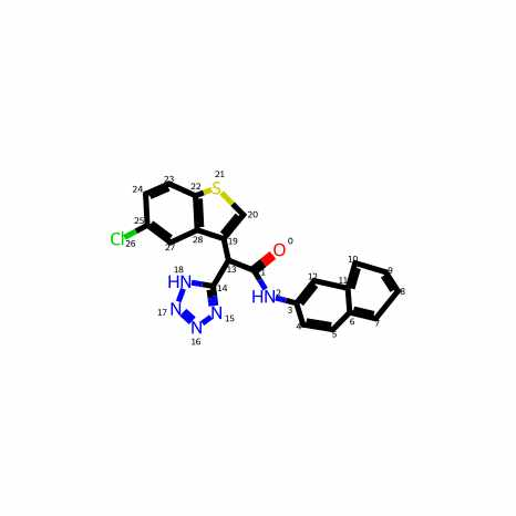 O=C(Nc1ccc2ccccc2c1)C(c1nnn[nH]1)c1csc2ccc(Cl)cc12